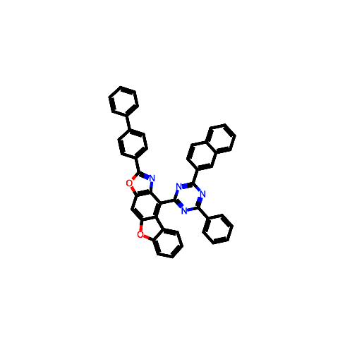 c1ccc(-c2ccc(-c3nc4c(-c5nc(-c6ccccc6)nc(-c6ccc7ccccc7c6)n5)c5c(cc4o3)oc3ccccc35)cc2)cc1